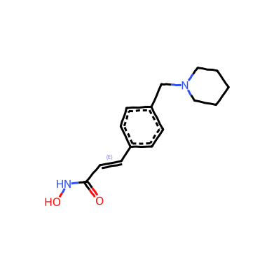 O=C(/C=C/c1ccc(CN2CCCCC2)cc1)NO